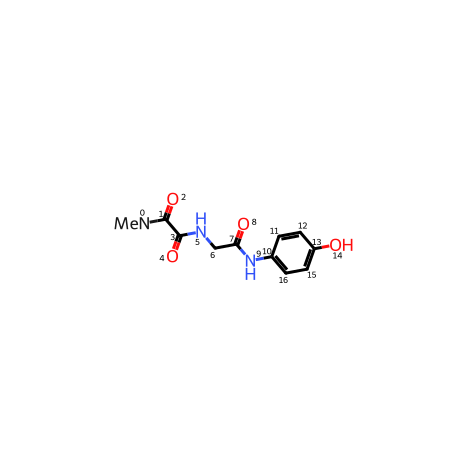 CNC(=O)C(=O)NCC(=O)Nc1ccc(O)cc1